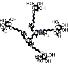 CC(=O)N[C@H]1[C@H](OCCCCCN(N)/C=C(\N)CN(Cc2cn(CCCCCO[C@@H]3O[C@H](CO)[C@H](O)[C@H](O)[C@H]3C)nn2)C(CCCCN(Cc2cn(CCCCCO[C@@H]3O[C@H](CO)[C@H](O)[C@H](O)[C@H]3NC(C)=O)nn2)Cc2cn(CCCCCO[C@@H]3O[C@H](CO)[C@H](O)[C@H](O)[C@H]3NC(C)=O)nn2)C(C)C)O[C@H](CO)[C@H](O)[C@@H]1O